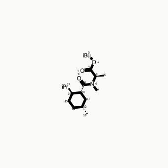 CCC(C)OC(=O)[C@@H](C)N(C)C(=O)[C@@H]1C[C@H](C)CC[C@H]1C(C)C